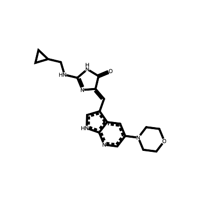 O=C1NC(NCC2CC2)=N/C1=C\c1c[nH]c2ncc(N3CCOCC3)cc12